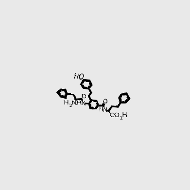 NC(Cc1ccccc1)C(=O)Nc1ccc(C(=O)N[C@@H](CCc2ccccc2)C(=O)O)cc1CCc1ccc(O)cc1